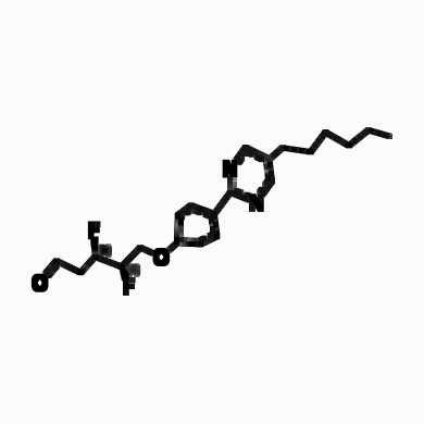 CCCCCCc1cnc(-c2ccc(OC[C@@H](F)[C@H](F)CC=O)cc2)nc1